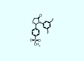 CS(=O)(=O)c1ccc(C2SCC(=O)N2c2cc(F)cc(F)c2)cc1